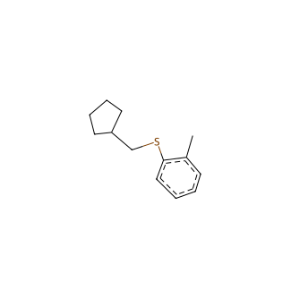 Cc1ccccc1SCC1CCCC1